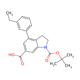 CCc1cccc(-c2cc(C(=O)O)cc3c2CCN3C(=O)OC(C)(C)C)c1